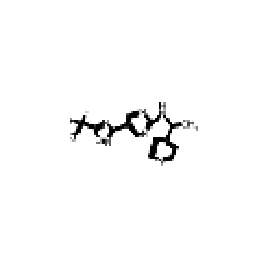 CC(Nc1ncc(-c2noc(C(F)(F)Cl)n2)cn1)c1ccncc1